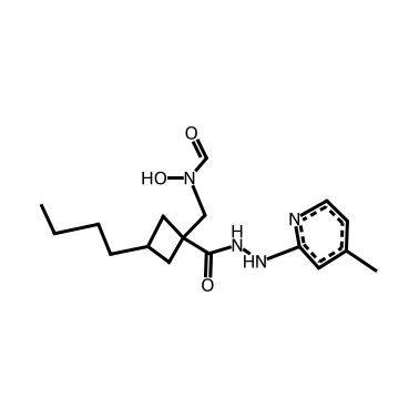 CCCCC1CC(CN(O)C=O)(C(=O)NNc2cc(C)ccn2)C1